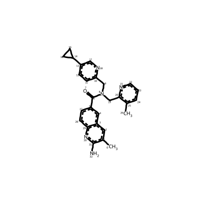 Cc1cc2cc(C(=O)N(Cc3ccc(C4CC4)cn3)Cc3ncccc3C)ccc2nc1N